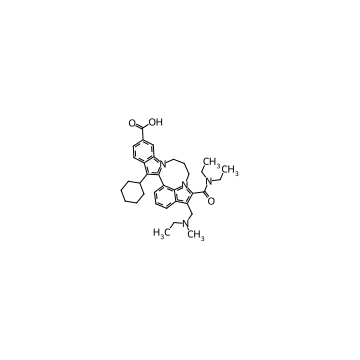 CCN(C)Cc1c(C(=O)N(CC)CC)n2c3c(cccc13)-c1c(C3CCCCC3)c3ccc(C(=O)O)cc3n1CCC2